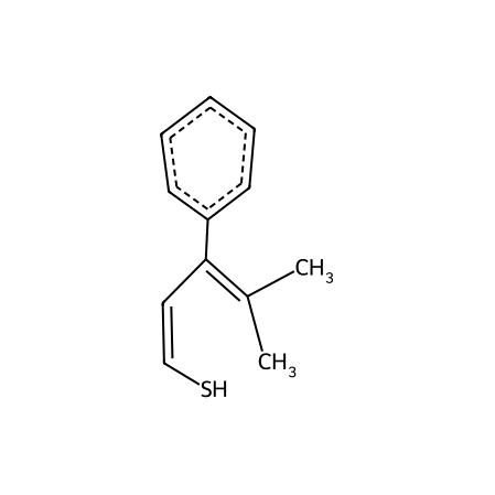 CC(C)=C(/C=C\S)c1ccccc1